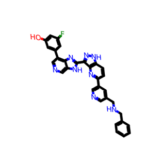 Oc1cc(F)cc(-c2cncc3[nH]c(-c4n[nH]c5ccc(-c6cncc(CNCc7ccccc7)c6)nc45)nc23)c1